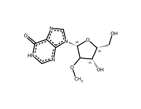 COC1[C@@H](O)[C@@H](CO)O[C@H]1n1cnc2c(=O)[nH]cnc21